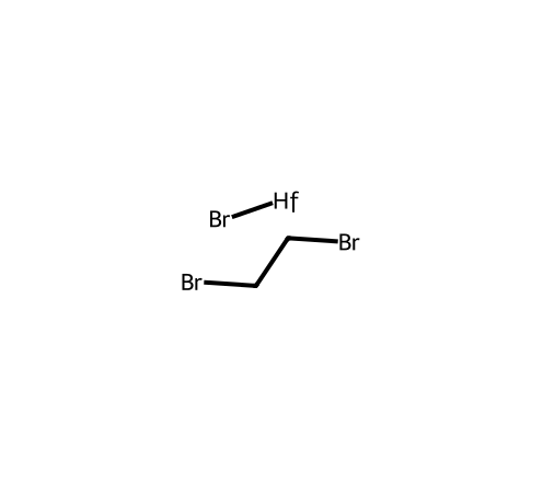 BrCCBr.[Br][Hf]